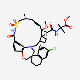 COC(=O)C(C)(C)NC(=O)C[C@]1(OC)/C=C/C[C@H](C)[C@@H](C)S(=O)(=O)NC(=O)c2ccc3c(c2)N(C[C@@H]2CC[C@H]21)C[C@@]1(CCCc2cc(Cl)ccc21)CO3